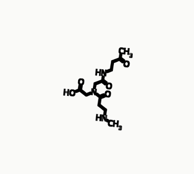 CNCCC(=O)N(CC(=O)O)CC(=O)NCCC(C)=O